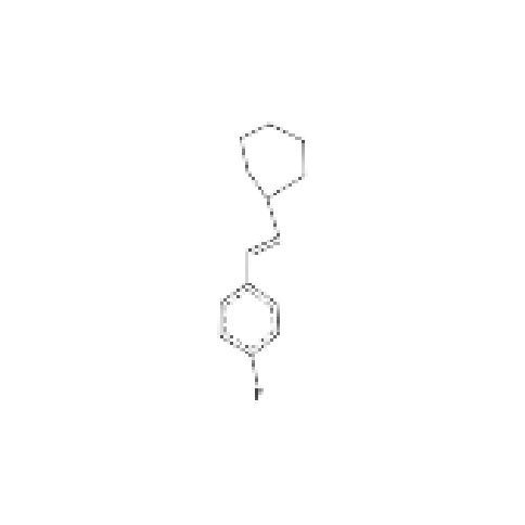 Fc1ccc(C=CC2CCCCC2)cc1